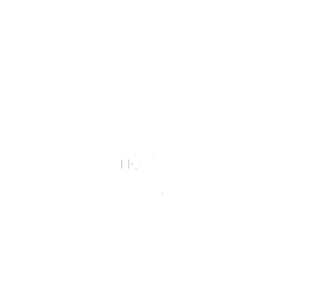 CC1CCC(C(C)C)=C(O)C1